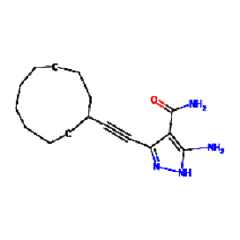 NC(=O)c1c(C#CC2CCCCCCCCC2)n[nH]c1N